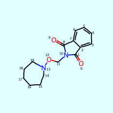 O=C1c2ccccc2C(=O)N1CON1CCCCCC1